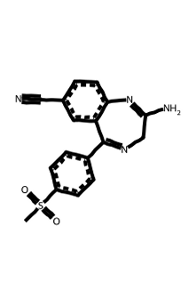 CS(=O)(=O)c1ccc(C2=NCC(N)=Nc3ccc(C#N)cc32)cc1